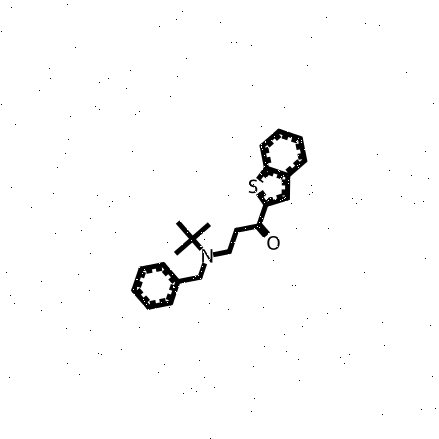 CC(C)(C)N(CCC(=O)c1cc2ccccc2s1)Cc1ccccc1